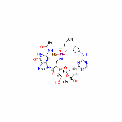 CCC[SiH](O[C@H]1C(CN[PH](S)(OCCC#N)OCC2CCC(Nc3ncncn3)C2)[C@H](n2cnc3c(=O)[nH]c(NC(=O)C(C)C)nc32)O[C@@H]1CO)O[Si](O)(CCC)CCC